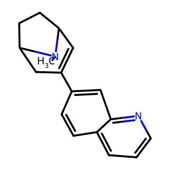 CN1C2C=C(c3ccc4cccnc4c3)CC1CC2